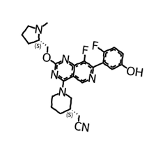 CN1CCC[C@H]1COc1nc(N2CCC[C@@H](CC#N)C2)c2cnc(-c3cc(O)ccc3F)c(F)c2n1